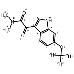 [2H]C([2H])([2H])Oc1ccc2c(C(=O)C(=O)N(C)C)c[nH]c2c1